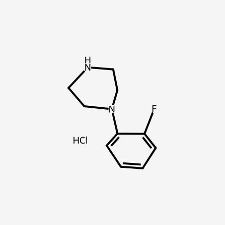 Cl.Fc1ccccc1N1CCNCC1